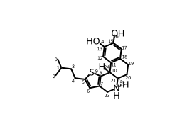 CC(C)CCc1cc2c(s1)[C@@H]1c3cc(O)c(O)cc3CC[C@H]1NC2